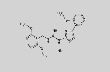 Br.COc1ccccc1-c1csc(NC(=N)NCc2c(OC)cccc2OC)n1